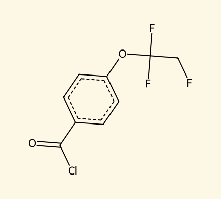 O=C(Cl)c1ccc(OC(F)(F)CF)cc1